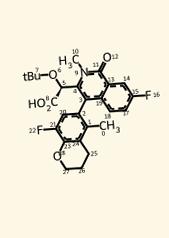 Cc1c(-c2c([C@H](OC(C)(C)C)C(=O)O)n(C)c(=O)c3cc(F)ccc23)cc(F)c2c1CCCO2